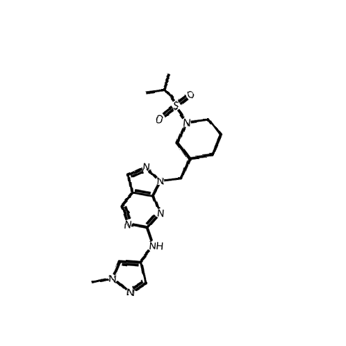 CC(C)S(=O)(=O)N1CCCC(Cn2ncc3cnc(Nc4cnn(C)c4)nc32)C1